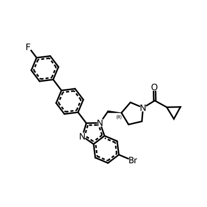 O=C(C1CC1)N1CC[C@@H](Cn2c(-c3ccc(-c4ccc(F)cc4)cc3)nc3ccc(Br)cc32)C1